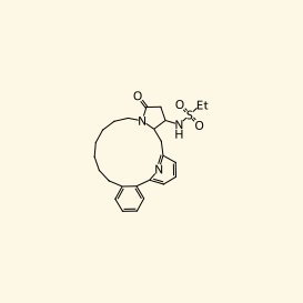 CCS(=O)(=O)NC1CC(=O)N2CCCCCCCc3ccccc3-c3cccc(n3)CC12